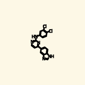 Clc1ccc(Nc2nccc(-c3ccc4[nH]cnc4c3)n2)cc1Cl